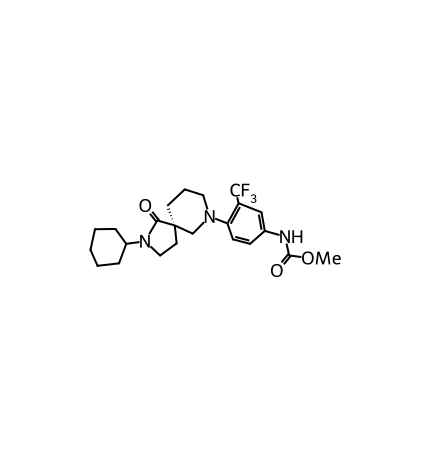 COC(=O)Nc1ccc(N2CCC[C@@]3(CCN(C4CCCCC4)C3=O)C2)c(C(F)(F)F)c1